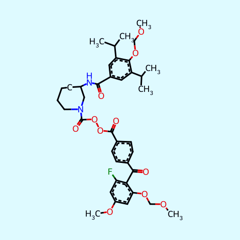 COCOc1cc(OC)cc(F)c1C(=O)c1ccc(C(=O)OOC(=O)N2CCCCC(NC(=O)c3cc(C(C)C)c(OCOC)c(C(C)C)c3)C2)cc1